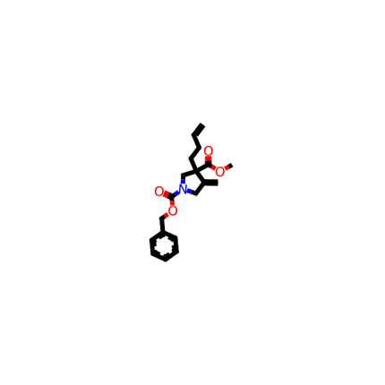 C=CCCC1(C(=O)OC)CN(C(=O)OCc2ccccc2)CC1=C